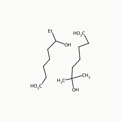 CC(C)(O)CCCCC(=O)O.CCC(O)CCCCC(=O)O